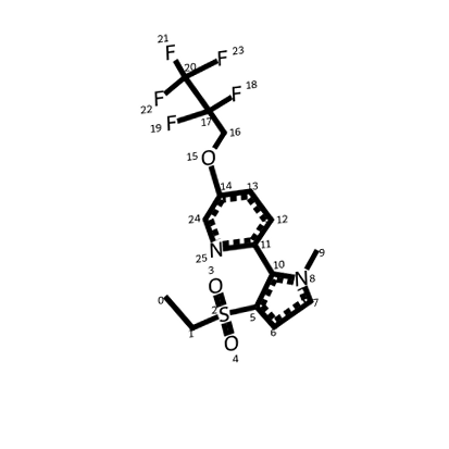 CCS(=O)(=O)c1ccn(C)c1-c1ccc(OCC(F)(F)C(F)(F)F)cn1